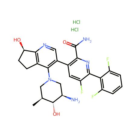 C[C@H]1CN(c2c(-c3cc(F)c(-c4c(F)cccc4F)nc3C(N)=O)cnc3c2CC[C@H]3O)C[C@@H](N)[C@@H]1O.Cl.Cl